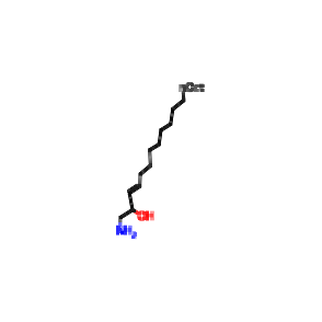 CCCCCCCCCCCCCCCCC=CC(O)CN